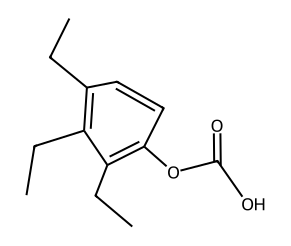 CCc1ccc(OC(=O)O)c(CC)c1CC